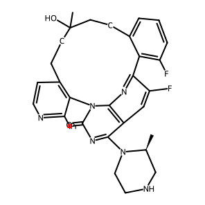 CC(C)c1nccc2c1-n1c(=O)nc(N3CCNC[C@@H]3C)c3cc(F)c(nc31)-c1c(F)cccc1CCC(C)(O)CC2